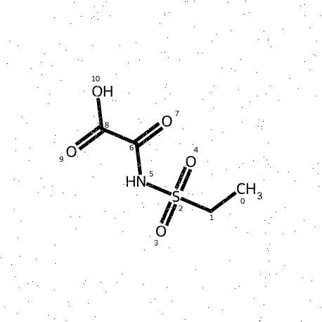 CCS(=O)(=O)NC(=O)C(=O)O